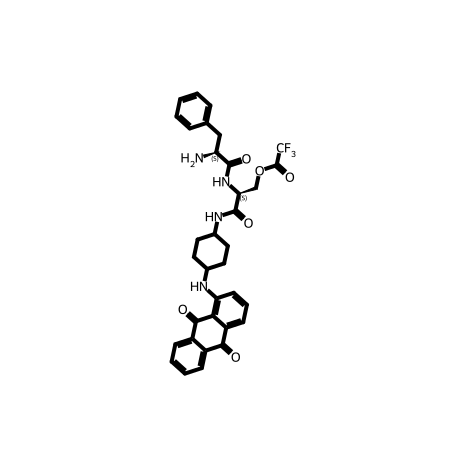 N[C@@H](Cc1ccccc1)C(=O)N[C@@H](COC(=O)C(F)(F)F)C(=O)NC1CCC(Nc2cccc3c2C(=O)c2ccccc2C3=O)CC1